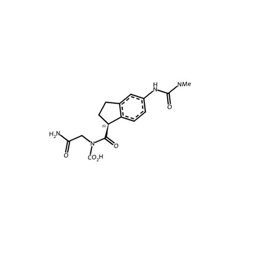 CNC(=O)Nc1ccc2c(c1)CC[C@@H]2C(=O)N(CC(N)=O)C(=O)O